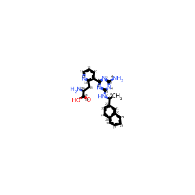 CC(Nc1nc(N)nc(-c2cccnc2CC(N)C(=O)O)n1)c1ccc2ccccc2c1